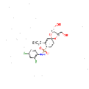 CCOC(=O)C1=CC2(CCC1S(=O)(=O)Nc1ccc(F)cc1F)O[C@H](CO)[C@@H](CO)O2